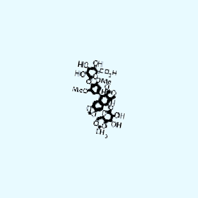 COc1cc([C@@H]2c3cc4c(cc3[C@@H](OC3OC5COC(C)OC5C(O)C3O)[C@H]3COC(=O)[C@H]23)OCO4)cc(OC)c1O[C@@H]1O[C@H](C(=O)O)[C@@H](O)[C@H](O)[C@H]1O